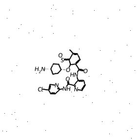 CC1=CC=C(C(=O)Nc2cccnc2C(=O)Nc2ccc(Cl)cn2)C(O[C@H]2CC[C@@H](N)CC2)C1=S=O